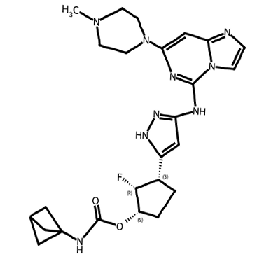 CN1CCN(c2cc3nccn3c(Nc3cc([C@@H]4CC[C@H](OC(=O)NC56CC(C5)C6)[C@@H]4F)[nH]n3)n2)CC1